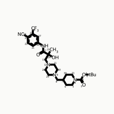 CC(C)(C)OC(=O)N1CCC(CN2CCN(CC(C)(O)C(=O)Nc3ccc(C#N)c(C(F)(F)F)c3)CC2)CC1